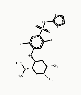 C[C@@H]1C[C@H](N(C)C)[C@@H](Nc2cc(F)c(S(=O)(=O)Nc3nccs3)cc2Cl)C[C@@H]1C